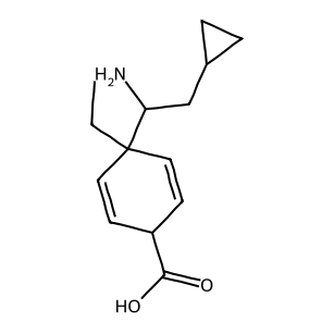 CCC1(C(N)CC2CC2)C=CC(C(=O)O)C=C1